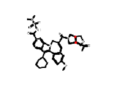 COc1ccc2c(c1)C=C(C(=O)N1CC34COCC3(C1)N(C(C)=O)C4)Cn1c-2c(C2CCCCC2)c2ccc(C(=O)NS(=O)(=O)N(C)C)cc21